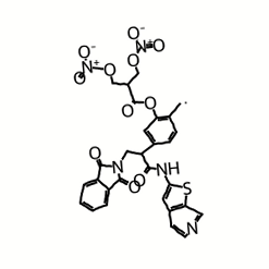 [CH2]c1ccc(C(CN2C(=O)c3ccccc3C2=O)C(=O)Nc2cc3ccncc3s2)cc1OC(=O)C(CO[N+](=O)[O-])CO[N+](=O)[O-]